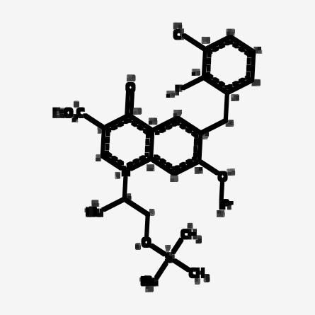 CCOC(=O)c1cn(C(CO[Si](C)(C)C(C)(C)C)C(C)(C)C)c2cc(OC(C)C)c(Cc3cccc(Cl)c3F)cc2c1=O